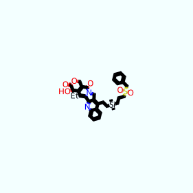 CC[C@@]1(O)C(=O)OCc2c1cc1n(c2=O)Cc2c-1nc1ccccc1c2CC[Si](C)(C)CCCS(=O)(=O)Cc1ccccc1